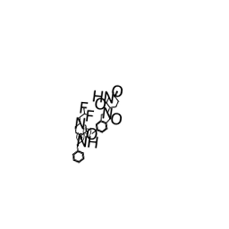 O=C1CCC(N2Cc3cc(O[C@H]4CN(CC(F)F)CC[C@@H]4NCc4ccccc4)ccc3C2=O)C(=O)N1